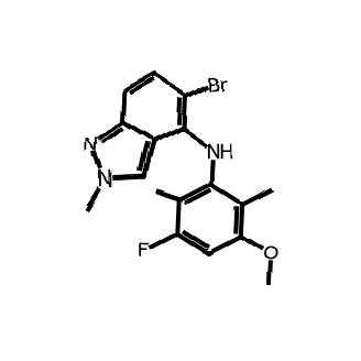 COc1cc(F)c(C)c(Nc2c(Br)ccc3nn(C)cc23)c1C